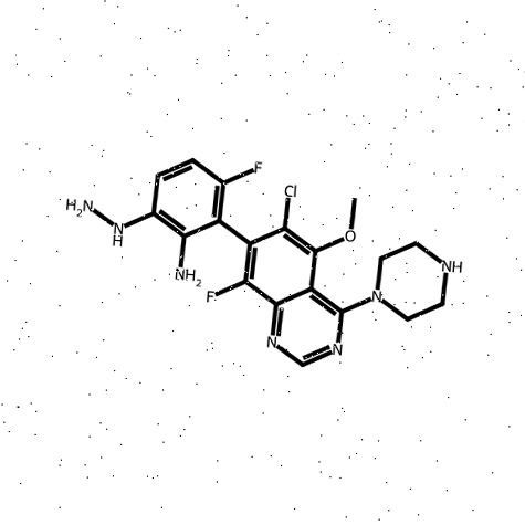 COc1c(Cl)c(-c2c(F)ccc(NN)c2N)c(F)c2ncnc(N3CCNCC3)c12